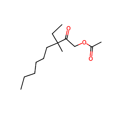 CCCCCCC(C)(CC)C(=O)COC(C)=O